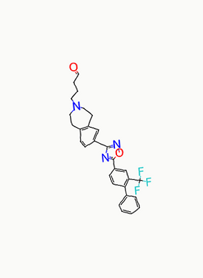 O=CCCCN1CCc2ccc(-c3noc(-c4ccc(-c5ccccc5)c(C(F)(F)F)c4)n3)cc2CC1